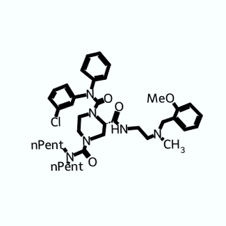 CCCCCN(CCCCC)C(=O)N1CCN(C(=O)N(c2ccccc2)c2cccc(Cl)c2)[C@H](C(=O)NCCN(C)Cc2ccccc2OC)C1